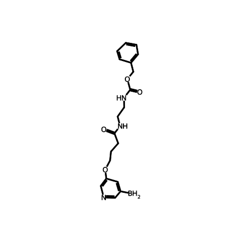 Bc1cncc(OCCCC(=O)NCCNC(=O)OCc2ccccc2)c1